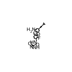 Nc1cc(C#CC2CC2)cc(Oc2c(Cl)ccc(CNC(=O)c3[nH]cnc3Cl)c2F)c1